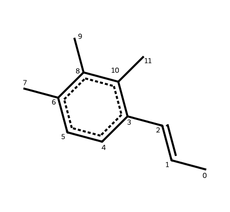 C/C=[C]/c1ccc(C)c(C)c1C